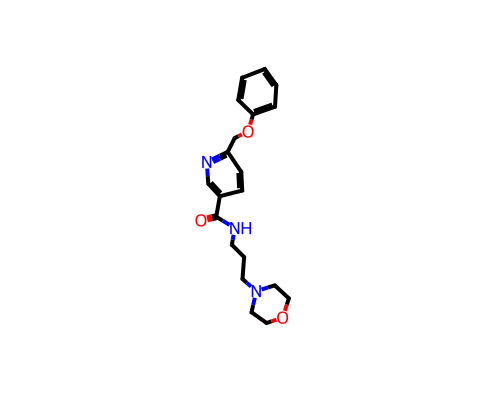 O=C(NCCCN1CCOCC1)c1ccc(COc2ccccc2)nc1